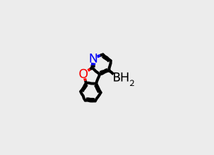 Bc1ccnc2oc3ccccc3c12